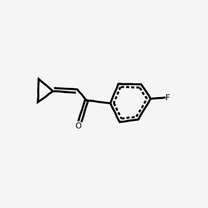 O=C(C=C1CC1)c1ccc(F)cc1